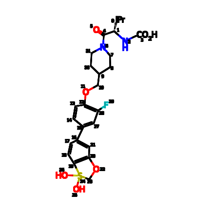 CC(C)[C@H](NC(=O)O)C(=O)N1CCC(COc2ccc(-c3ccc4c(c3)OCS4(O)O)cc2F)CC1